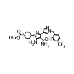 CC(C)(C)OC(=O)N1CCC(n2nc(-c3cnn(Cc4ccc(C(F)(F)F)cc4)c3)c(C(N)O)c2N)CC1